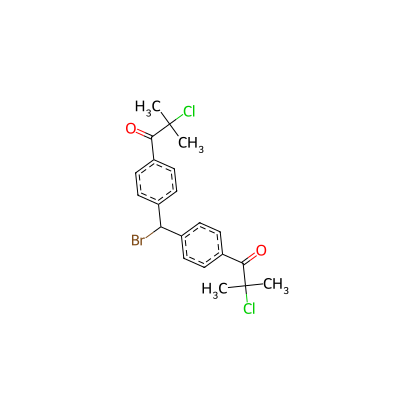 CC(C)(Cl)C(=O)c1ccc(C(Br)c2ccc(C(=O)C(C)(C)Cl)cc2)cc1